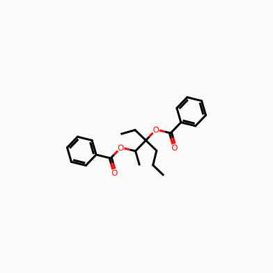 CCCC(CC)(OC(=O)c1ccccc1)C(C)OC(=O)c1ccccc1